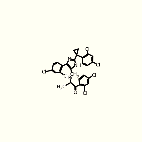 CC(Br)C(=O)c1ccc(Cl)cc1Cl.Cc1[nH]c(C2(c3ccc(Cl)cc3Cl)CC2)nc1-c1ccc(Cl)cc1Cl